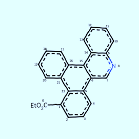 CCOC(=O)c1cccc2c3cnc4ccccc4c3c3ccccc3c12